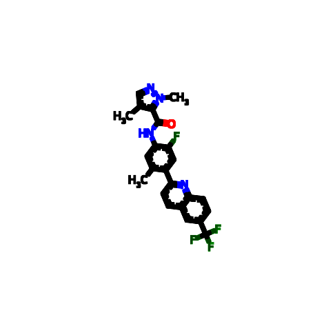 Cc1cc(NC(=O)c2c(C)cnn2C)c(F)cc1-c1ccc2cc(C(F)(F)F)ccc2n1